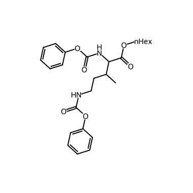 CCCCCCOC(=O)C(NC(=O)Oc1ccccc1)C(C)CCNC(=O)Oc1ccccc1